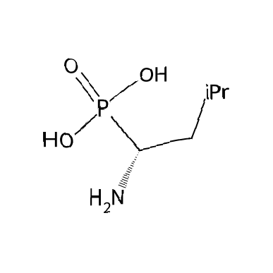 CC(C)C[C@H](N)P(=O)(O)O